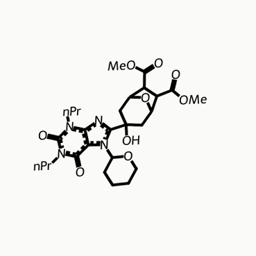 CCCn1c(=O)c2c(nc(C3(O)CC4OC(C3)C(C(=O)OC)C4C(=O)OC)n2C2CCCCO2)n(CCC)c1=O